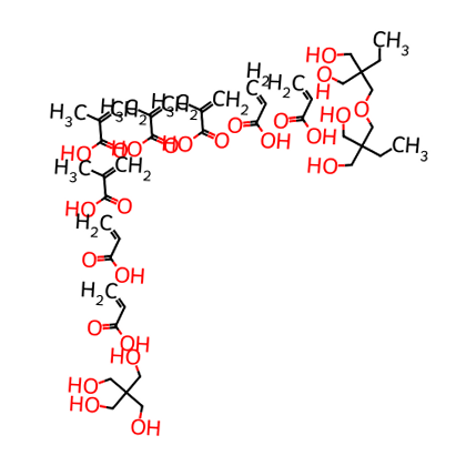 C=C(C)C(=O)O.C=C(C)C(=O)O.C=C(C)C(=O)O.C=C(C)C(=O)O.C=CC(=O)O.C=CC(=O)O.C=CC(=O)O.C=CC(=O)O.CCC(CO)(CO)COCC(CC)(CO)CO.OCC(CO)(CO)CO